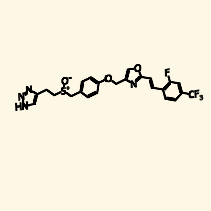 [O-][S+](CCc1c[nH]nn1)Cc1ccc(OCc2coc(C=Cc3ccc(C(F)(F)F)cc3F)n2)cc1